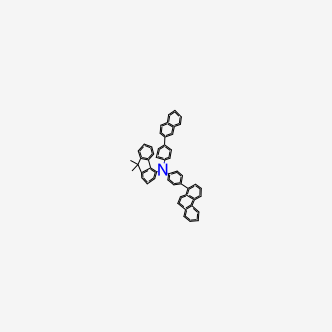 CC1(C)c2ccccc2-c2c(N(c3ccc(-c4ccc5ccccc5c4)cc3)c3ccc(-c4cccc5c4ccc4ccccc45)cc3)cccc21